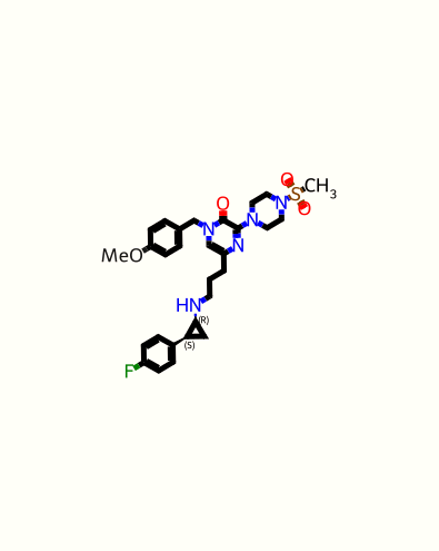 COc1ccc(Cn2cc(CCCN[C@@H]3C[C@H]3c3ccc(F)cc3)nc(N3CCN(S(C)(=O)=O)CC3)c2=O)cc1